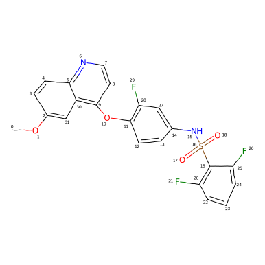 COc1ccc2nccc(Oc3ccc(NS(=O)(=O)c4c(F)cccc4F)cc3F)c2c1